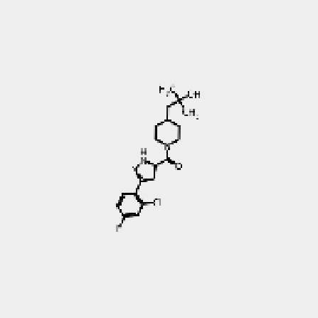 CC(C)(O)CC1CCN(C(=O)C2CC(c3ccc(F)cc3Cl)=NN2)CC1